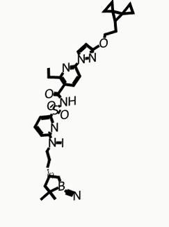 CCc1nc(-n2ccc(OCCC3C4(CC4)C34CC4)n2)ccc1C(=O)NS(=O)(=O)c1cccc(N(I)CCC[C@@H]2CB(C#N)C(C)(C)C2)n1